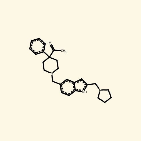 CC(=O)C1(c2ccccc2)CCN(Cc2ccc3[nH]c(CN4CCCC4)cc3c2)CC1